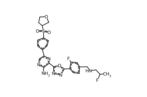 CC(F)CNCc1ccc(-c2nnc(-c3nc(-c4ccc(S(=O)(=O)C5CCOC5)cc4)cnc3N)o2)c(F)c1